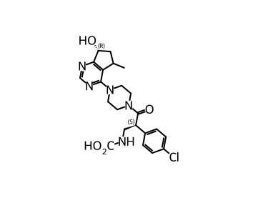 CC1C[C@@H](O)c2ncnc(N3CCN(C(=O)[C@H](CNC(=O)O)c4ccc(Cl)cc4)CC3)c21